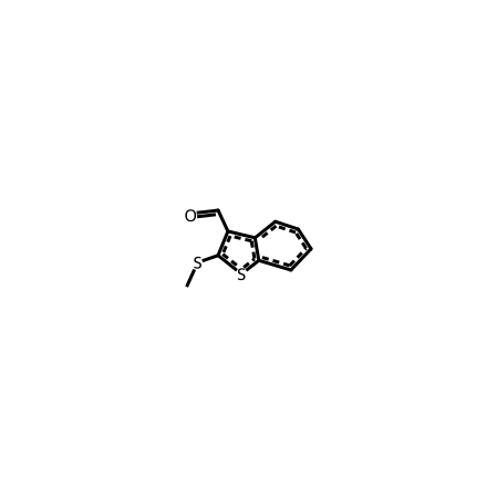 CSc1sc2ccccc2c1C=O